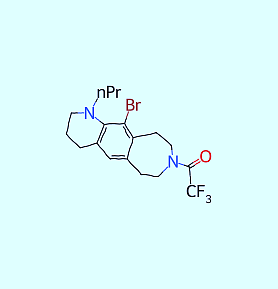 CCCN1CCCc2cc3c(c(Br)c21)CCN(C(=O)C(F)(F)F)CC3